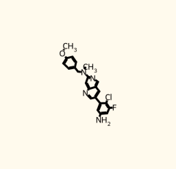 COc1ccc(CN(C)c2cc3ncc(-c4cc(N)cc(F)c4Cl)cc3cn2)cc1